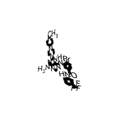 CN1CCC(N2CCN(c3nc(N)c4ncnc(Nc5cc(C(=O)Nc6cccc(C(F)(F)F)c6)ccc5Br)c4n3)CC2)CC1